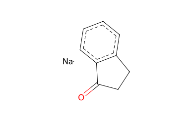 O=C1CCc2ccccc21.[Na]